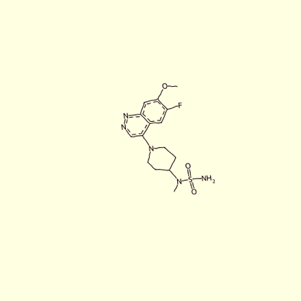 COc1cc2nncc(N3CCC(N(C)S(N)(=O)=O)CC3)c2cc1F